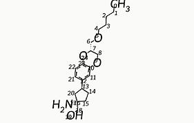 CCCCCOC[C@@H]1COc2cc([C@H]3CC[C@@](N)(CO)C3)ccc2O1